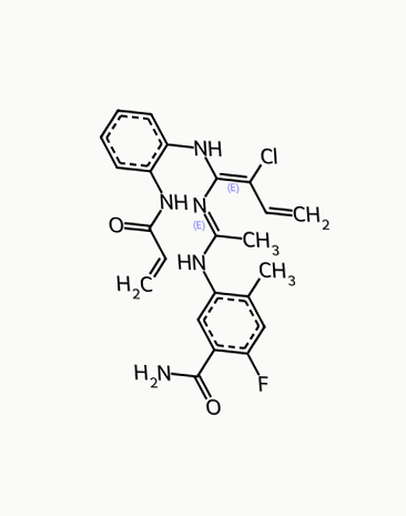 C=CC(=O)Nc1ccccc1NC(/N=C(\C)Nc1cc(C(N)=O)c(F)cc1C)=C(\Cl)C=C